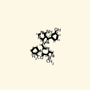 Cc1ccccc1N1C(=O)C2C(C=NN2C)N=C1Cn1nc(-c2cccc(O)c2)c2c(N)ncnc21